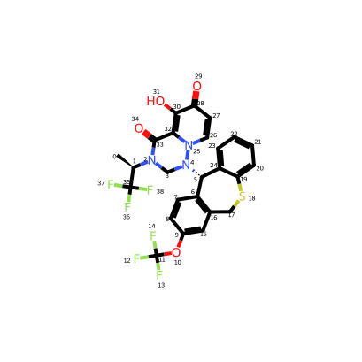 C[C@@H](N1CN([C@H]2c3ccc(OC(F)(F)F)cc3CSc3ccccc32)n2ccc(=O)c(O)c2C1=O)C(F)(F)F